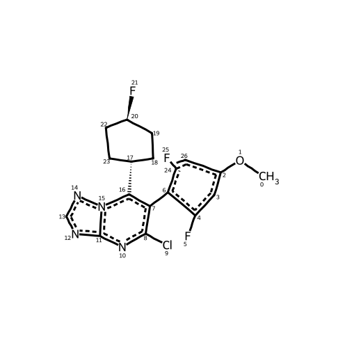 COc1cc(F)c(-c2c(Cl)nc3ncnn3c2[C@H]2CC[C@H](F)CC2)c(F)c1